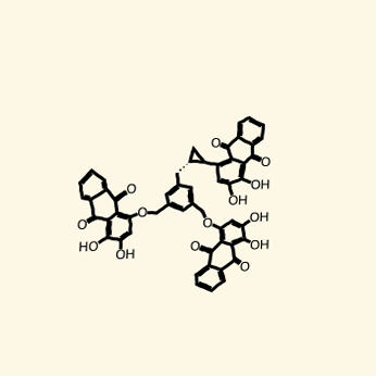 O=C1c2ccccc2C(=O)c2c(O)c(O)cc(OCc3cc(COc4cc(O)c(O)c5c4C(=O)c4ccccc4C5=O)cc(C[C@@H]4CC4c4cc(O)c(O)c5c4C(=O)c4ccccc4C5=O)c3)c21